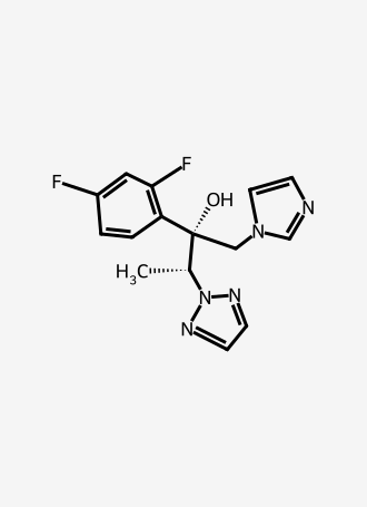 C[C@@H](n1nccn1)[C@](O)(Cn1ccnc1)c1ccc(F)cc1F